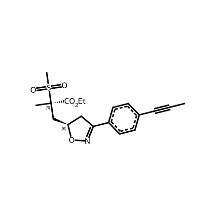 CC#Cc1ccc(C2=NO[C@@H](C[C@](C)(C(=O)OCC)S(C)(=O)=O)C2)cc1